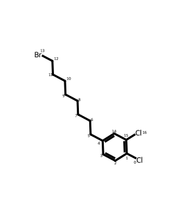 Clc1ccc(CCCCCCCCBr)cc1Cl